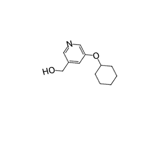 OCc1cncc(OC2CCCCC2)c1